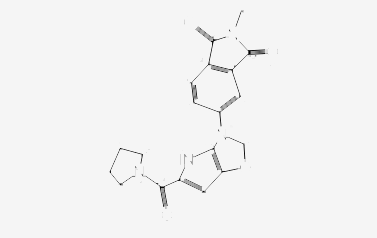 CN1C(=O)c2ccc(N3COc4cc(C(=O)N5CCCC5)[nH]c43)cc2C1=O